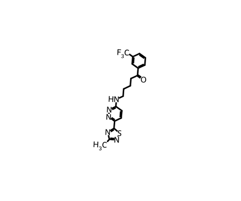 Cc1nsc(-c2ccc(NCCCCC(=O)c3cccc(C(F)(F)F)c3)nn2)n1